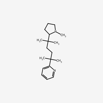 CN1CCCC1C(C)(C)CCC(C)(C)c1ccccn1